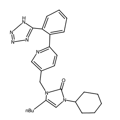 CCCCc1cn(C2CCCCC2)c(=O)n1Cc1ccc(-c2ccccc2-c2nnn[nH]2)nc1